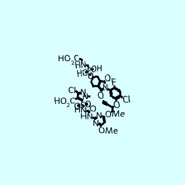 C#CC(C)Oc1cc(N2C(=O)C3=C(CCCC3)C2=O)c(F)cc1Cl.COc1cc(OC)nc(NC(=O)NS(=O)(=O)c2c(C(=O)O)c(Cl)nn2C)n1.O=C(O)CNCP(=O)(O)O